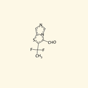 CC(F)(F)c1sc2cncn2c1C=O